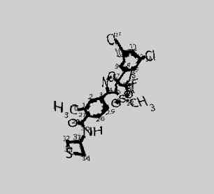 Cc1cc(C2=NOC(c3cc(Cl)cc(Cl)c3)(C(F)(F)F)C2S(C)(=O)=O)ccc1C(=O)NC1CSC1